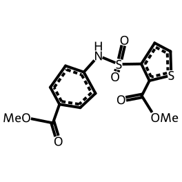 COC(=O)c1ccc(NS(=O)(=O)c2ccsc2C(=O)OC)cc1